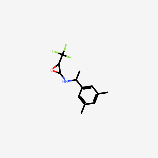 Cc1cc(C)cc(C(C)NC2OC2C(F)(F)F)c1